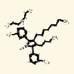 CCCCCCCCC1=C(c2cccc(C)c2)[N+](=[N-])C(c2cccc(C)c2)=C1CCCC.CC[CH2][Pd][CH2]CC